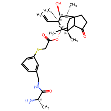 C=C[C@]1(C)C[C@@H](OC(=O)CSc2cccc(CNC(=O)[C@H](C)N)c2)[C@]2(C)C(C)CCC3(CCC(=O)C32)[C@@H](C)[C@@H]1O